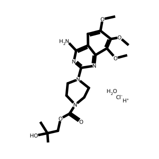 COc1cc2c(N)nc(N3CCN(C(=O)OCC(C)(C)O)CC3)nc2c(OC)c1OC.O.[Cl-].[H+]